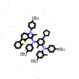 Cc1cc(C(C)(C)C)ccc1N(c1ccc(C(C)(C)C)cc1)c1cc(C2CCCC2)cc(N(c2ccc(C(C)(C)C)cc2)c2c(C)n(-c3ccc(C(C)(C)C)cc3)c3ccc4c5ccccc5sc4c23)c1C